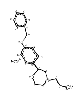 Cl.OCCN1CCOC(c2ccc(OCc3ccccc3)cc2)C1